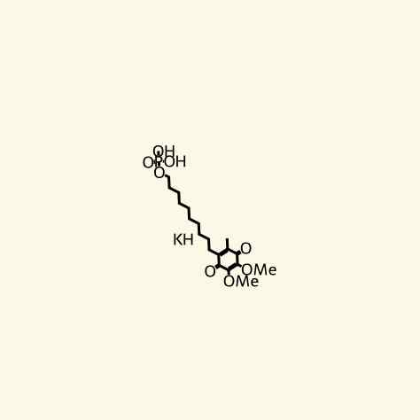 COC1=C(OC)C(=O)C(CCCCCCCCCCOP(=O)(O)O)=C(C)C1=O.[KH]